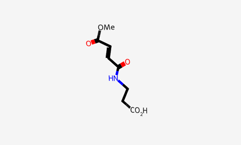 COC(=O)/C=C/C(=O)NCCC(=O)O